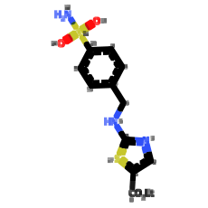 CCOC(=O)c1cnc(NCc2ccc(S(N)(=O)=O)cc2)s1